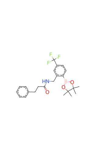 CC1(C)OB(c2ccc(C(F)(F)F)cc2CNC(=O)CCc2ccccc2)OC1(C)C